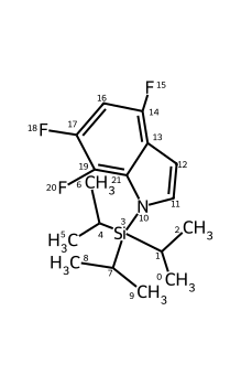 CC(C)[Si](C(C)C)(C(C)C)n1ccc2c(F)cc(F)c(F)c21